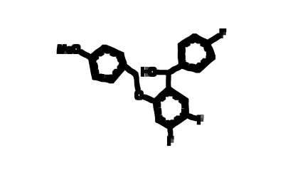 COc1ccc(COc2cc(F)c(F)cc2C(O)c2ccc(F)cc2)cc1